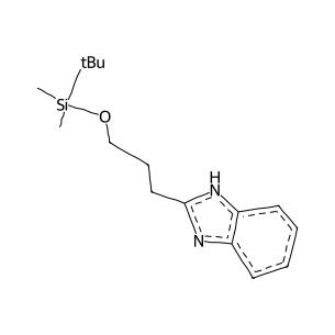 CC(C)(C)[Si](C)(C)OCCCc1nc2ccccc2[nH]1